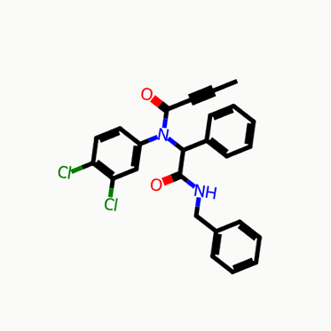 CC#CC(=O)N(c1ccc(Cl)c(Cl)c1)C(C(=O)NCc1ccccc1)c1ccccc1